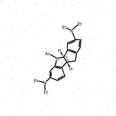 CCN(CC)c1ccc2c(c1)[C@@H]1[C@H](C2)c2ccc(N(CC)CC)cc2N1C(C)=O